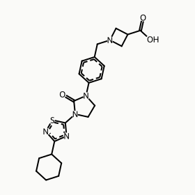 O=C(O)C1CN(Cc2ccc(N3CCN(c4nc(C5CCCCC5)ns4)C3=O)cc2)C1